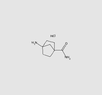 Cl.NC(=O)C12CCC(N)(CC1)C2